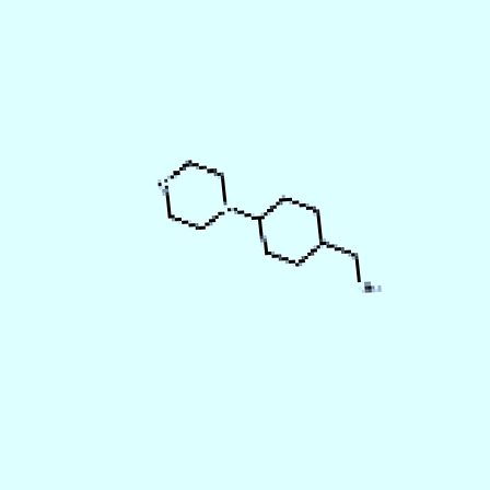 CC(C)(C)CC1CCC(N2CCOCC2)CC1